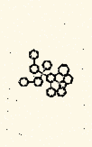 C1#CCC(c2cc(S(c3ccccc3)(c3cccc(-c4ccccc4)c3)c3cccc(-c4ccccc4)c3)cc(-c3ccccc3)c2-n2c3c(c4ccccc42)C=CCC3)=CC=C1